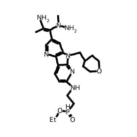 CCO[PH](=O)CCNc1ccc2c3ncc(/C(=C(\C)N)N(C)N)cc3n(CC3CCOCC3)c2n1